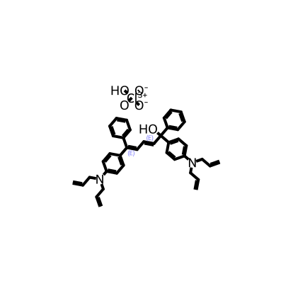 C=CCN(CC=C)c1ccc(/C(=C/C=C/C(O)(c2ccccc2)c2ccc(N(CC=C)CC=C)cc2)c2ccccc2)cc1.[O-][Cl+3]([O-])([O-])O